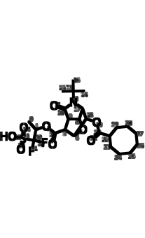 CC(OC(=O)C1C2OC3C1C(=O)N(C(C)(C)C)C3C2OC(=O)C1CCCCCCC1)C(F)(F)S(=O)(=O)O